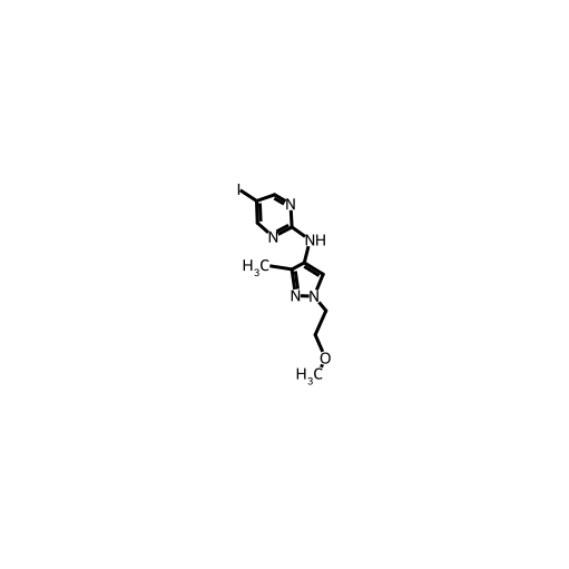 COCCn1cc(Nc2ncc(I)cn2)c(C)n1